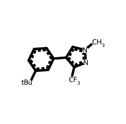 Cn1cc(-c2cccc(C(C)(C)C)c2)c(C(F)(F)F)n1